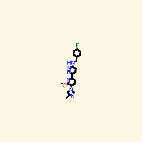 COc1nc(-c2ccc(NCc3ccc(F)cc3)nn2)ccc1-n1cnc(C)c1